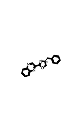 c1ccc(C[C@H]2COC(c3cnc4ccccc4n3)=N2)cc1